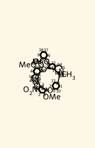 COc1cc([N+](=O)[O-])c2cc1Oc1ccc(cc1)C[C@H]1c3cc(c(OC)cc3CCN1C)Oc1c(OC(=O)c3ccccc3)c(OC)cc3c1[C@H](C2)N(C)CC3